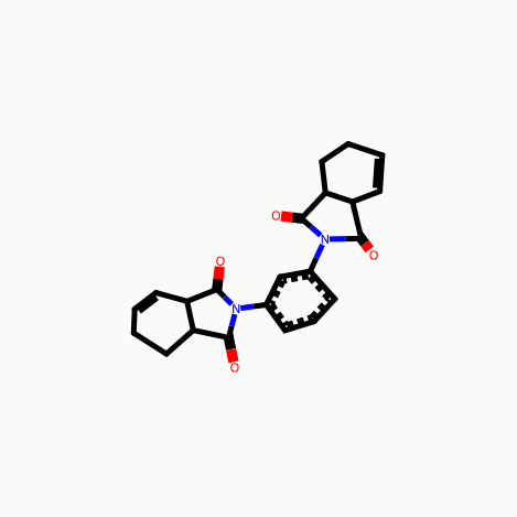 O=C1C2C=CCCC2C(=O)N1c1cccc(N2C(=O)C3C=CCCC3C2=O)c1